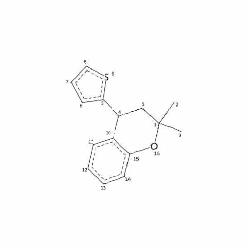 CC1(C)CC(c2cccs2)c2ccccc2O1